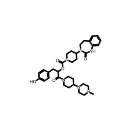 CN1CCN(C2CCN(C(=O)C(Cc3ccc(O)cc3)OC(=O)N3CCC(N4CCc5ccccc5NC4=O)CC3)CC2)CC1